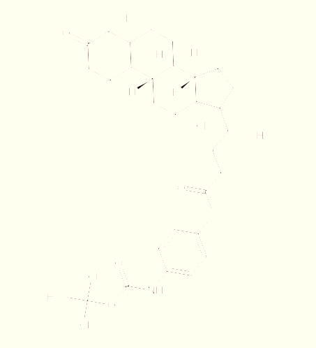 C[C@H](CCC(=O)Oc1ccc(NC(=O)OC(C)(C)C)cc1)C1CC[C@H]2[C@@H]3CC[C@@H]4CC(=O)CC[C@]4(C)[C@H]3CC[C@]12C